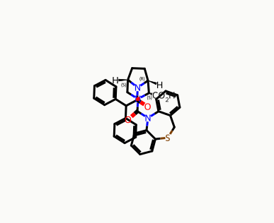 O=C(O)[C@@H]1[C@H]2CC[C@@H](CN1C(=O)N1c3ccccc3CSc3ccccc31)N2C(=O)C(c1ccccc1)c1ccccc1